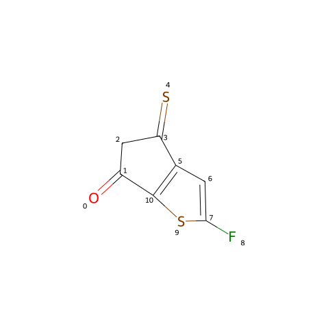 O=C1CC(=S)c2cc(F)sc21